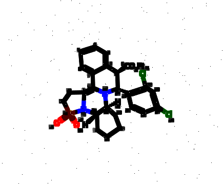 CCOC(=O)[C@@H]1c2ccccc2C2=C3CCS(=O)(=O)N3[C@H]3CCCC[C@@H]3N2[C@H]1c1ccc(Cl)cc1Cl